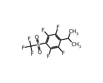 CC(C)c1c(F)c(F)c(S(=O)(=O)C(F)(F)F)c(F)c1F